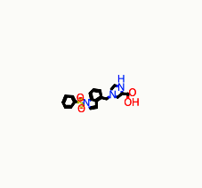 O=C(O)C1CN(Cc2cccc3c2ccn3S(=O)(=O)c2ccccc2)CCN1